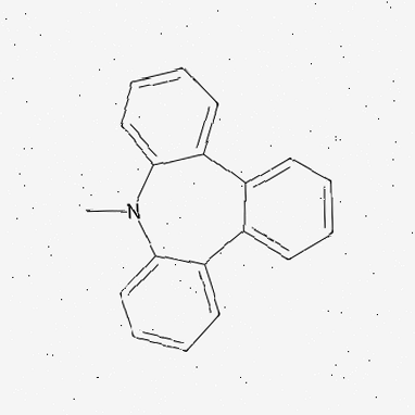 CN1c2ccccc2-c2ccccc2-c2ccccc21